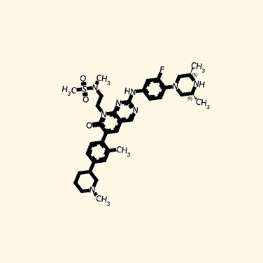 Cc1cc(C2CCCN(C)C2)ccc1-c1cc2cnc(Nc3ccc(N4C[C@@H](C)N[C@@H](C)C4)c(F)c3)nc2n(CCN(C)S(C)(=O)=O)c1=O